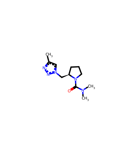 Cc1cn(C[C@H]2CCCN2C(=O)N(C)C)nn1